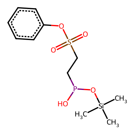 C[Si](C)(C)OP(O)CCS(=O)(=O)Oc1ccccc1